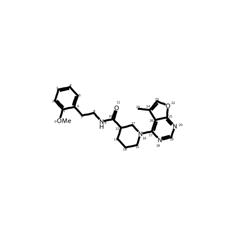 COc1ccccc1CCNC(=O)C1CCCN(c2ncnc3occ(C)c23)C1